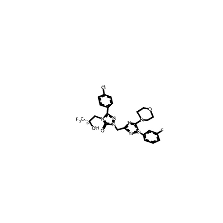 O=c1n(Cc2nc(N3CCOCC3)n(-c3cccc(F)c3)n2)nc(-c2ccc(Cl)cc2)n1C[C@H](O)C(F)(F)F